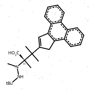 CN(NC(C)(C)C)[C@](C)(C(=O)O)C(C)(C)C1=Cc2c(c3ccccc3c3ccccc23)C1